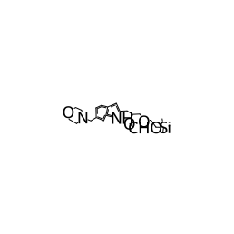 C[Si](C)(C)CCOCC(Cc1cc2ccc(CN3CCOCC3)cc2[nH]1)OC=O